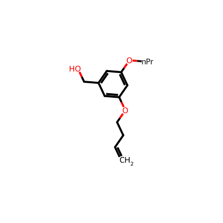 C=CCCOc1cc(CO)cc(OCCC)c1